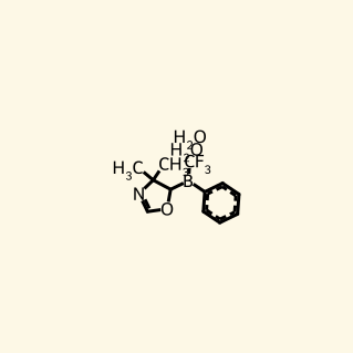 CC1(C)N=COC1B(c1ccccc1)C(F)(F)F.O.O